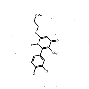 CCn1c(OCCOC)cc(=O)c(C(=O)O)c1-c1ccc(Cl)c(Cl)c1